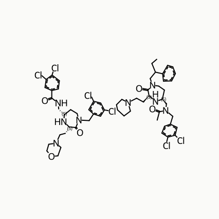 CCC(CN1CC[C@@H](CN(Cc2ccc(Cl)c(Cl)c2)C(C)=O)N[C@@H](CCN2CCCCC2)C1=O)c1ccccc1.O=C(NC[C@@H]1CCN(Cc2cc(Cl)cc(Cl)c2)C(=O)[C@H](CCN2CCOCC2)N1)c1ccc(Cl)c(Cl)c1